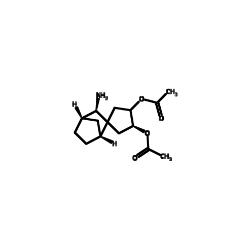 CC(=O)OC1CC2(C[C@@H]1OC(C)=O)[C@@H]1CC[C@@H](C1)[C@H]2N